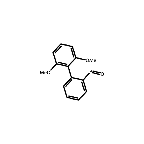 COc1cccc(OC)c1-c1ccccc1P=O